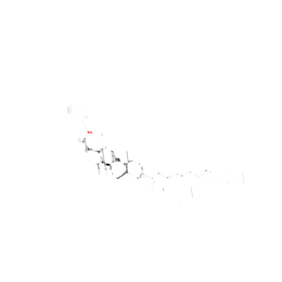 CC(C)CCC(=O)[C@@H](C)[C@H]1CC[C@H]2[C@@H]3CC=C4C[C@@H](C(CCCCCCCC(=O)O)C(=O)O)CC[C@]4(C)[C@H]3CC[C@]12C